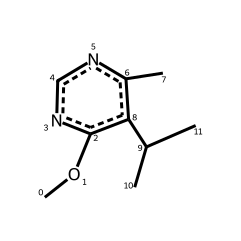 COc1ncnc(C)c1C(C)C